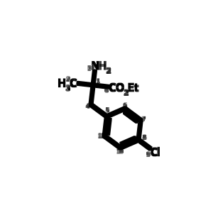 CCOC(=O)C(C)(N)Cc1ccc(Cl)cc1